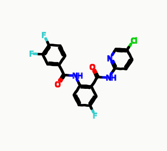 O=C(Nc1ccc(F)cc1C(=O)Nc1ccc(Cl)cn1)c1ccc(F)c(F)c1